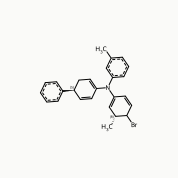 Cc1cccc(N(C2=CC[C@H](c3ccccc3)C=C2)C2=C[C@@H](C)C(Br)C=C2)c1